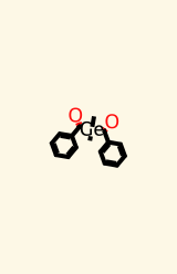 [CH3][Ge]([CH3])([C](=O)c1ccccc1)[C](=O)c1ccccc1